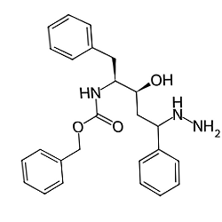 NNC(C[C@H](O)[C@H](Cc1ccccc1)NC(=O)OCc1ccccc1)c1ccccc1